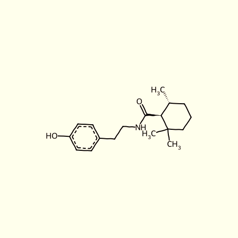 C[C@@H]1CCCC(C)(C)[C@H]1C(=O)NCCc1ccc(O)cc1